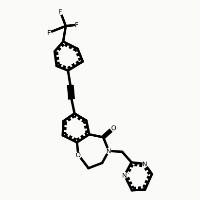 O=C1c2cc(C#Cc3ccc(C(F)(F)F)cc3)ccc2OCCN1Cc1ncccn1